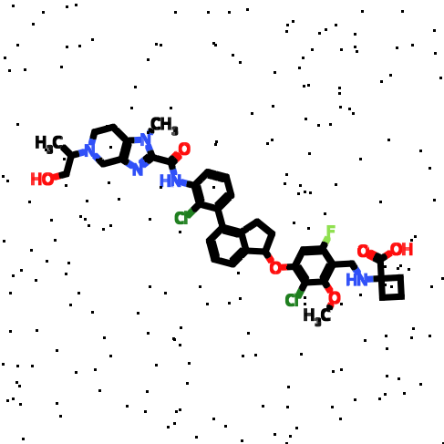 COc1c(Cl)c(OC2CCc3c(-c4cccc(NC(=O)c5nc6c(n5C)CCN(C(C)CO)C6)c4Cl)cccc32)cc(F)c1CNC1(C(=O)O)CCC1